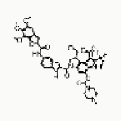 COc1cc2cc(C(=O)Nc3ccc4[nH]c(C(=O)N5C[C@@H](CCl)c6c5cc(OC(=O)N5CCN(C)CC5)c5[nH]c(C(F)(F)F)c(C(=O)O)c65)cc4c3)oc2c(OC)c1OC